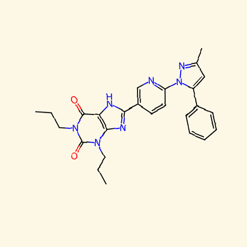 CCCn1c(=O)c2[nH]c(-c3ccc(-n4nc(C)cc4-c4ccccc4)nc3)nc2n(CCC)c1=O